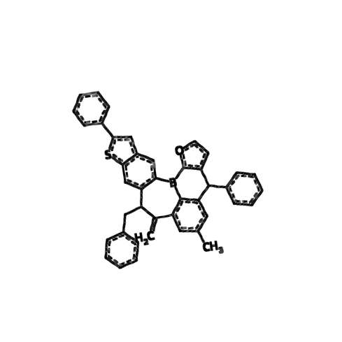 C=C1c2cc(C)cc3c2B(c2cc4cc(-c5ccccc5)sc4cc2C1Cc1ccccc1)c1occc1C3c1ccccc1